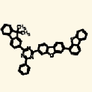 CC1(C)c2ccccc2-c2ccc(-c3nc(-c4ccccc4)nc(-c4ccc5c(c4)oc4cc(-c6cccc7c6sc6ccccc67)ccc45)n3)cc21